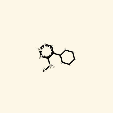 CC[SiH2]c1nnncc1C1CCCCC1